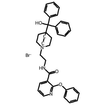 O=C(NCC[N+]12CCC(C(O)(c3ccccc3)c3ccccc3)(CC1)CC2)c1cccnc1Oc1ccccc1.[Br-]